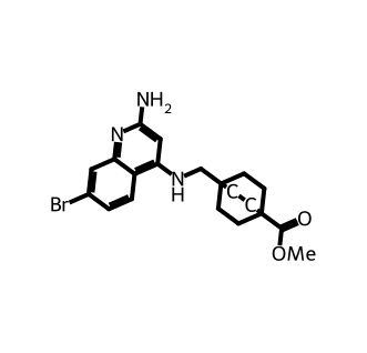 COC(=O)C12CCC(CNc3cc(N)nc4cc(Br)ccc34)(CC1)CC2